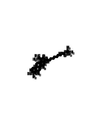 CC(C)C1=C2[C@H]3CC[C@@H]4[C@@]5(C)CC[C@H](O)C(C)(C)[C@@H]5CC[C@@]4(C)[C@]3(C)CC[C@@]2(NC(=O)CCCCCCCNC(=O)OC(C)(C)C)CC1=O